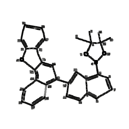 CC1(C)OB(c2cccc3ccc(-c4cc5c6ccccc6oc5c5ccccc45)cc23)OC1(C)C